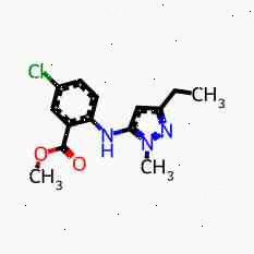 CCc1cc(Nc2ccc(Cl)cc2C(=O)OC)n(C)n1